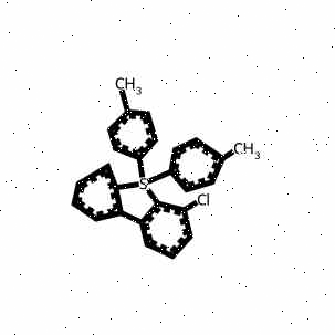 Cc1ccc(S2(c3ccc(C)cc3)c3ccccc3-c3cccc(Cl)c32)cc1